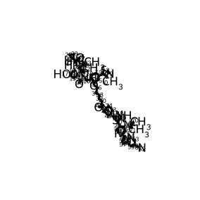 Cc1ncsc1-c1ccc(CNC(=O)[C@@H]2C[C@@H](O)CN2C(=O)[C@@H](NC(=O)C2(F)CC2)C(C)(C)C)c(OCCCCCC(=O)N2CCN(c3nnc(-c4cnc(-c5ccc6cc(C#N)cnn56)cc4NC(C)C)s3)CC2)c1